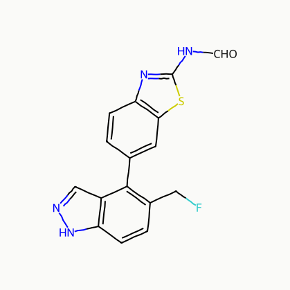 O=CNc1nc2ccc(-c3c(CF)ccc4[nH]ncc34)cc2s1